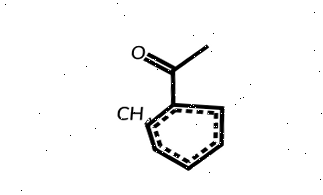 C.CC(=O)c1ccccc1